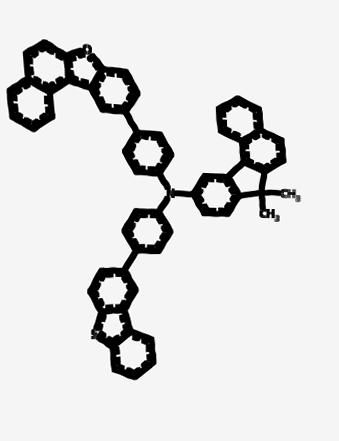 CC1(C)c2ccc(N(c3ccc(-c4ccc5sc6ccccc6c5c4)cc3)c3ccc(-c4ccc5oc6ccc7ccccc7c6c5c4)cc3)cc2-c2c1ccc1ccccc21